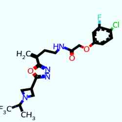 C=C(CCNC(=O)COc1ccc(Cl)c(F)c1)c1nnc(C2CN(C(C)C(F)(F)F)C2)o1